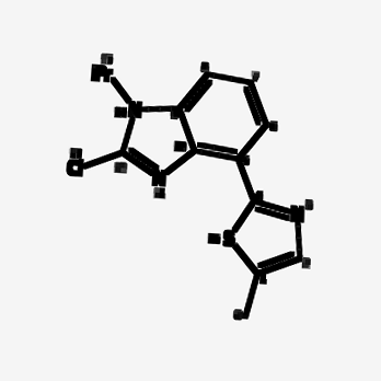 Cc1cnc(-c2cccc3c2nc(Cl)n3C(C)C)s1